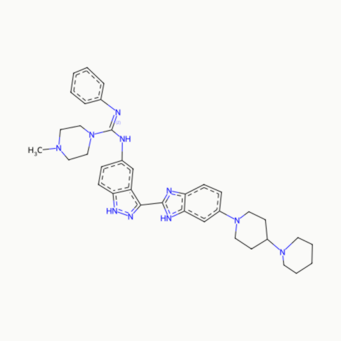 CN1CCN(/C(=N\c2ccccc2)Nc2ccc3[nH]nc(-c4nc5ccc(N6CCC(N7CCCCC7)CC6)cc5[nH]4)c3c2)CC1